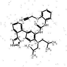 C#CCOc1ccccc1NC(=O)Nc1cc(-c2ccccc2-c2nn[nH]n2)ccc1N(CC(C)C)CC(C)C